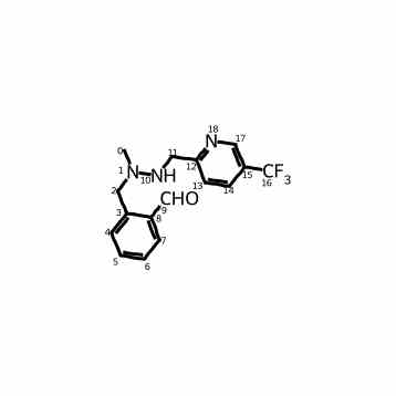 CN(Cc1ccccc1C=O)NCc1ccc(C(F)(F)F)cn1